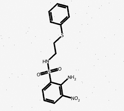 Nc1c([N+](=O)[O-])cccc1S(=O)(=O)NCCSc1ccccc1